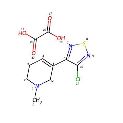 CN1CCC=C(c2nsnc2Cl)C1.O=C(O)C(=O)O